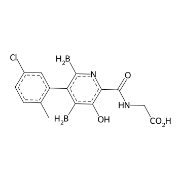 Bc1nc(C(=O)NCC(=O)O)c(O)c(B)c1-c1cc(Cl)ccc1C